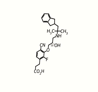 CC(C)(CC1Cc2ccccc2C1)NC[C@H](O)COc1c(C#N)ccc(CCC(=O)O)c1F